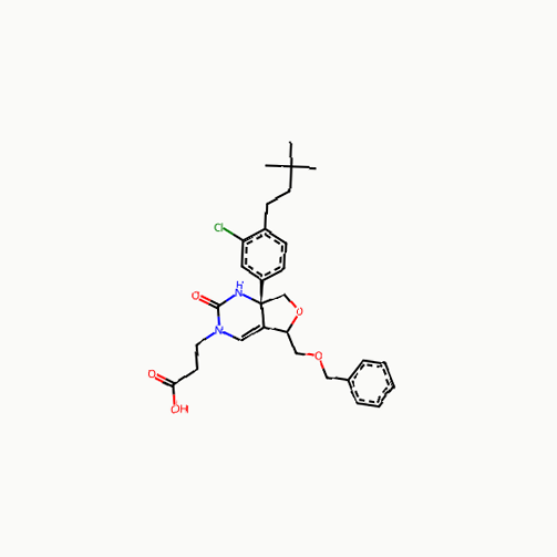 CC(C)(C)CCc1ccc([C@@]23COC(COCc4ccccc4)C2=CN(CCC(=O)O)C(=O)N3)cc1Cl